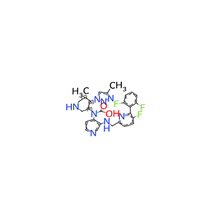 Cc1cn([C@@H]2[C@H](N(C(=O)O)c3ccncc3NCc3ccc(F)c(-c4c(F)cccc4F)n3)CNC[C@@H]2C)nn1